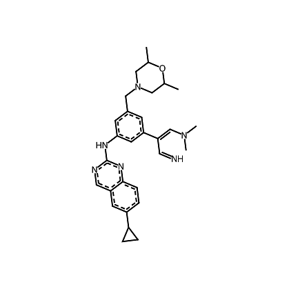 CC1CN(Cc2cc(Nc3ncc4cc(C5CC5)ccc4n3)cc(/C(C=N)=C/N(C)C)c2)CC(C)O1